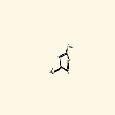 CC(C)(C)[C]1C=CC(C(C)(C)C)=C1